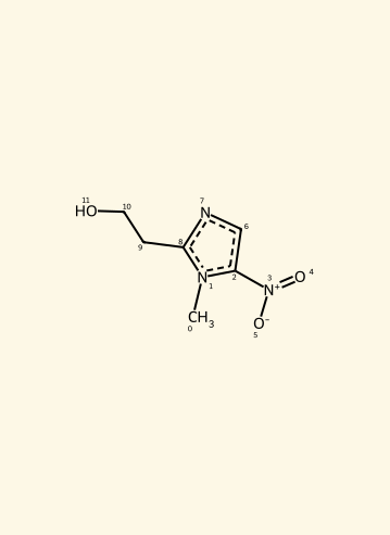 Cn1c([N+](=O)[O-])cnc1CCO